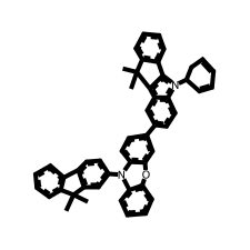 CC1(C)c2ccccc2-c2ccc(N3c4ccccc4Oc4cc(-c5ccc6c(c5)c5c(n6C6C=CC=CC6)-c6ccccc6C5(C)C)ccc43)cc21